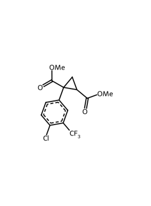 COC(=O)C1CC1(C(=O)OC)c1ccc(Cl)c(C(F)(F)F)c1